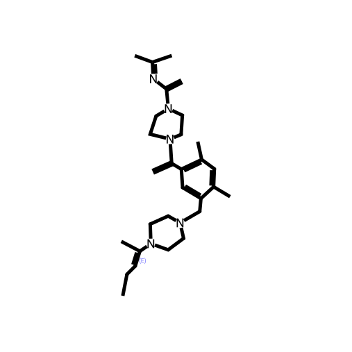 C=C(N=C(C)C)N1CCN(C(=C)c2cc(CN3CCN(/C(C)=C/CC)CC3)c(C)cc2C)CC1